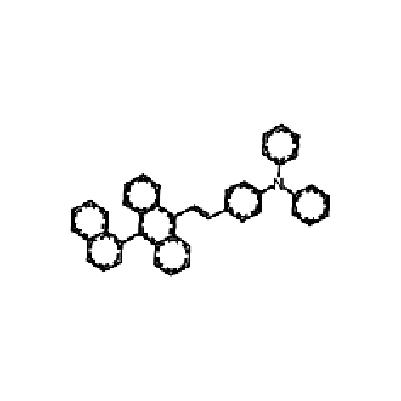 C(=C\c1c2ccccc2c(-c2cccc3ccccc23)c2ccccc12)/c1ccc(N(c2ccccc2)c2ccccc2)cc1